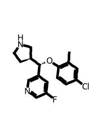 Cc1cc(Cl)ccc1O[C@H](c1cncc(F)c1)[C@H]1CCNC1